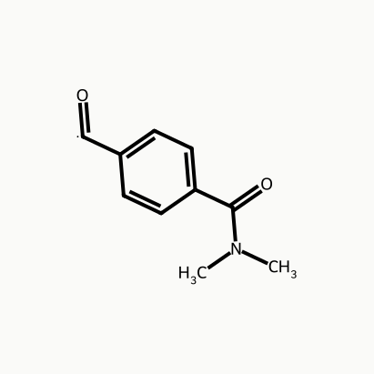 CN(C)C(=O)c1ccc([C]=O)cc1